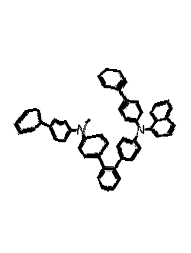 CN(C1=CC=C(c2ccccc2-c2ccc(N(c3ccc(C4=CCCC=C4)cc3)c3cccc4ccccc34)cc2)CC1)c1ccc(-c2ccccc2)cc1